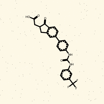 O=C(O)CC1Cc2cc(-c3ccc(NC(=O)Nc4cccc(C(F)(F)F)c4)cc3)ccc2C1=O